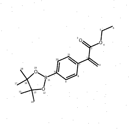 C=C(C(=O)OCC)c1ccc(B2OC(C)(C)C(C)(C)O2)cc1